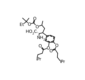 CCC(C)(C)OC(=O)OC(C)CC(c1ccc(OC(=O)CCC(C)C)c(OC(=O)CCC(C)C)c1)[C@H](N)C(=O)O